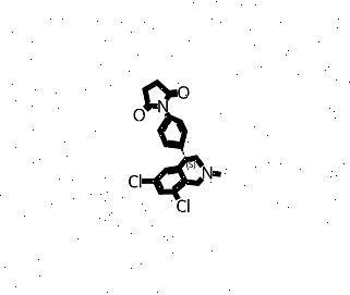 CN1Cc2c(Cl)cc(Cl)cc2[C@H](c2ccc(N3C(=O)CCC3=O)cc2)C1